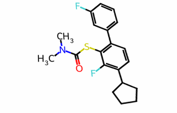 CN(C)C(=O)Sc1c(-c2cccc(F)c2)ccc(C2CCCC2)c1F